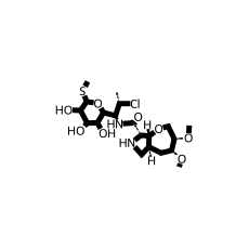 CO[C@H]1CO[C@@H]2[C@H](CN[C@@H]2C(=O)N[C@@H](C2OC(SC)C(O)C(O)C2O)[C@H](C)Cl)C[C@H]1OC